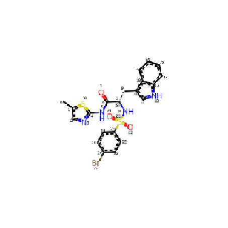 Cc1cnc(NC(=O)[C@H](Cc2c[nH]c3ccccc23)NS(=O)(=O)c2ccc(Br)cc2)s1